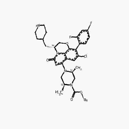 C[C@H]1CN(c2nc(=O)n3c4c(c(-c5ccc(F)cc5F)c(Cl)cc24)OC[C@H]3CC2CCNCC2)[C@@H](C)CN1C(=O)OC(C)(C)C